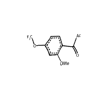 COc1cc(OC(F)(F)F)ccc1C(=O)C(C)=O